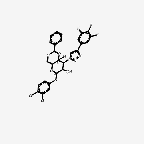 OC1C(n2cc(-c3cc(F)c(F)c(F)c3)nn2)[C@H]2OC(c3ccccc3)OCC2O[C@@H]1Sc1ccc(Cl)c(Cl)c1